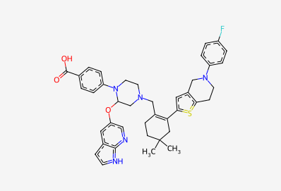 CC1(C)CCC(CN2CCN(c3ccc(C(=O)O)cc3)C(Oc3cnc4[nH]ccc4c3)C2)=C(c2cc3c(s2)CCN(c2ccc(F)cc2)C3)C1